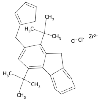 CC(C)(C)c1cc(CC2=CC=CC2)c(C(C)(C)C)c2c1-c1ccccc1C2.[Cl-].[Cl-].[Zr+2]